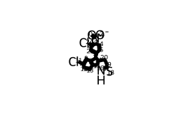 O=[N+]([O-])c1ccc(C2c3cc(Cl)ccc3C3NC(=S)CCC32)cc1Cl